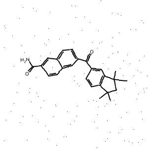 CC1(C)CC(C)(C)c2cc(C(=O)c3ccc4cc(C(N)=O)ccc4c3)ccc21